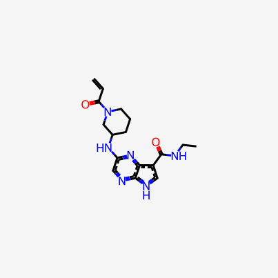 C=CC(=O)N1CCCC(Nc2cnc3[nH]cc(C(=O)NCC)c3n2)C1